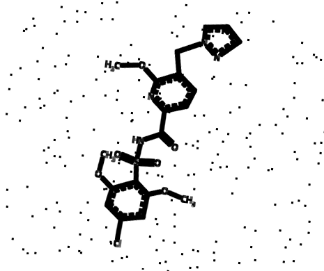 COc1cc(Cl)cc(OC)c1S(=O)(=O)NC(=O)c1ccc(Cn2cccn2)c(OC)n1